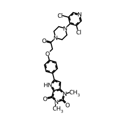 Cn1c(=O)c2[nH]c(-c3ccc(OCC(=O)N4CCN(c5c(Cl)cncc5Cl)CC4)cc3)cc2n(C)c1=O